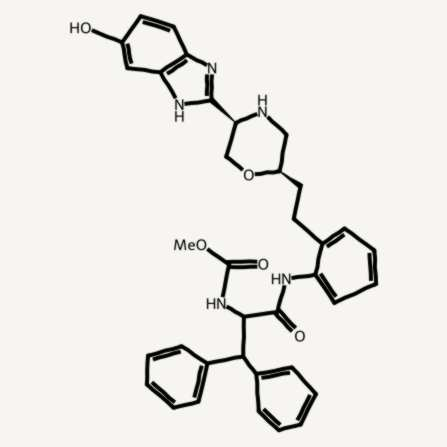 COC(=O)NC(C(=O)Nc1ccccc1CC[C@@H]1CN[C@H](c2nc3ccc(O)cc3[nH]2)CO1)C(c1ccccc1)c1ccccc1